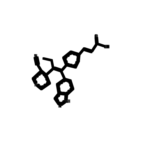 CCC(=C(c1ccc(C=CC(=O)O)cc1)c1ccc2[nH]ncc2c1)c1ccncc1C#N